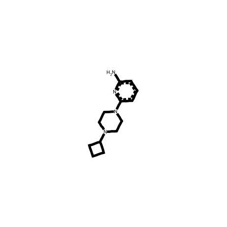 Nc1cccc(N2CCN(C3CCC3)CC2)n1